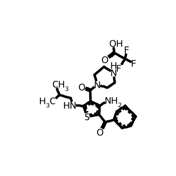 CC(C)CNc1sc(C(=O)c2ccccc2)c(N)c1C(=O)N1CCNCC1.O=C(O)C(F)(F)F